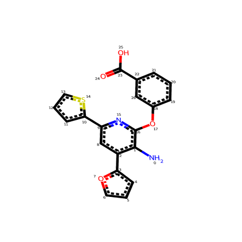 Nc1c(-c2ccco2)cc(-c2cccs2)nc1Oc1cccc(C(=O)O)c1